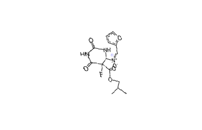 CC(C)COC(=O)C1(F)C(=O)NC(=O)NC1/[N+]([O-])=C\c1ccco1